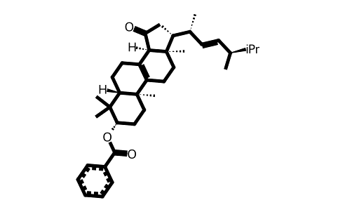 CC(C)[C@@H](C)/C=C/[C@@H](C)[C@H]1CC(=O)[C@@H]2C3=C(CC[C@@]21C)[C@@]1(C)CC[C@H](OC(=O)c2ccccc2)C(C)(C)[C@@H]1CC3